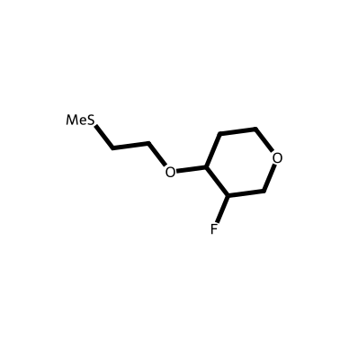 CSCCOC1CCOCC1F